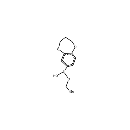 CC(C)(C)COB(O)c1ccc2c(c1)OCCCO2